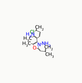 C=C(Cl)/C=C\C(C1=C(C)O/C(=C/C(=C)C)N1N)=C(\C)N